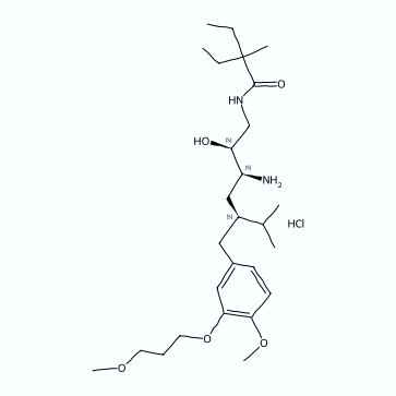 CCC(C)(CC)C(=O)NC[C@H](O)[C@@H](N)C[C@H](Cc1ccc(OC)c(OCCCOC)c1)C(C)C.Cl